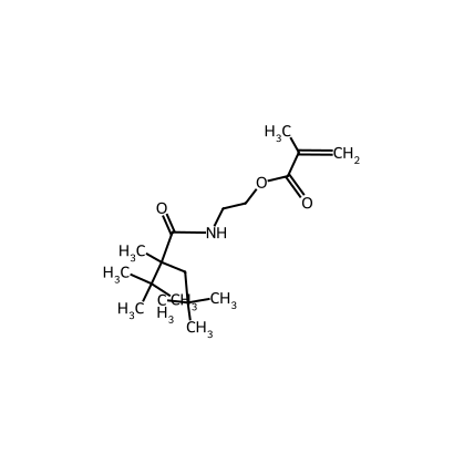 C=C(C)C(=O)OCCNC(=O)C(C)(CC(C)(C)C)C(C)(C)C